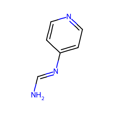 NC=Nc1ccncc1